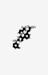 Cc1cccc(Nc2ncc(-c3cccc(C=CC(=O)O)c3)c(-n3ccc(C(F)(F)F)n3)n2)c1